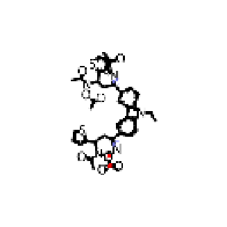 CCn1c2ccc(/C(CC(c3cccs3)N(OC(C)=O)C(C)=O)=N/OC(C)=O)cc2c2cc(/C(CC(c3cccs3)N(OC(C)=O)C(C)=O)=N/OC(C)=O)ccc21